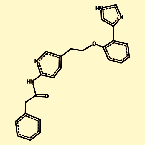 O=C(Cc1ccccc1)Nc1ccc(CCOc2ccccc2-c2c[nH]cn2)cn1